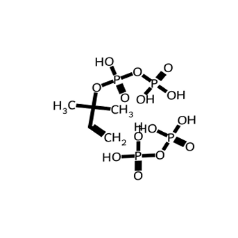 C=CC(C)(C)OP(=O)(O)OP(=O)(O)O.O=P(O)(O)OP(=O)(O)O